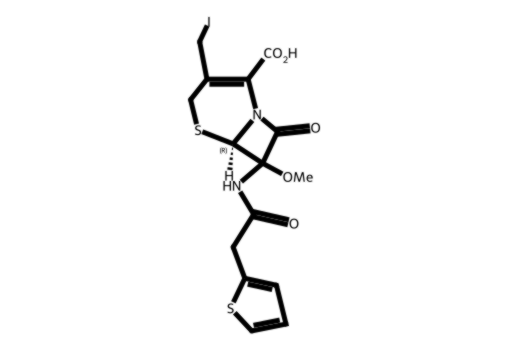 COC1(NC(=O)Cc2cccs2)C(=O)N2C(C(=O)O)=C(CI)CS[C@@H]21